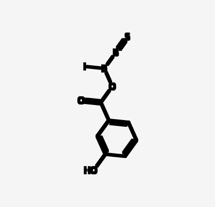 O=C(OB(I)B=S)c1cccc(O)c1